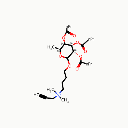 C#CC[N+](C)(C)CCCCOC1O[C@@H](C)[C@@H](OC(=O)CCC)[C@@H](OC(=O)CCC)[C@@H]1OC(=O)CCC